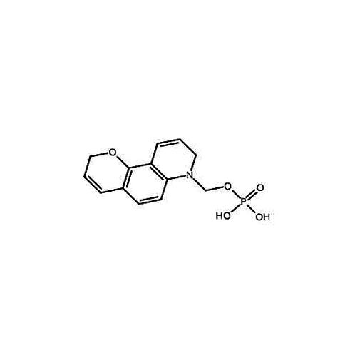 O=P(O)(O)OCN1CC=Cc2c1ccc1c2OCC=C1